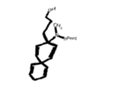 CCCCCN(C)C1(CCCO)C=CC2(C=CCC=C2)C=C1